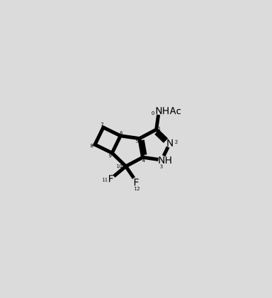 CC(=O)Nc1n[nH]c2c1C1CCC1C2(F)F